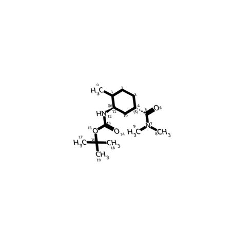 CC1CC[C@H](C(=O)N(C)C)C[C@H]1NC(=O)OC(C)(C)C